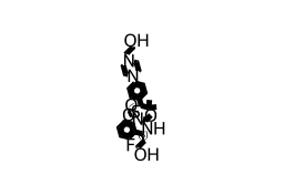 CC1(C)OC(N[C@@H](CCO)c2ccccc2F)=NS(=O)(=O)C1c1ccc(N2CCN(CCO)CC2)cc1